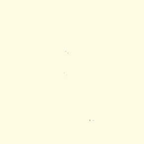 CCCCc1cc(CC)c(N(S)C(=O)NC2CCCC2)c(CC)c1